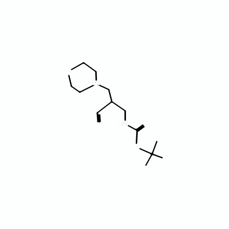 CC(C)(C)OC(=O)NCC(C=O)CN1CCOCC1